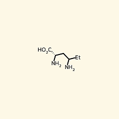 CCC(N)C[C@H](N)C(=O)O